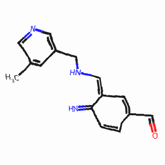 Cc1cncc(CN/C=C2/C=C(C=O)C=CC2=N)c1